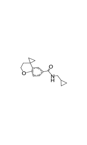 O=C(NCC1CC1)c1ccc2c(c1)C1(CCO2)CC1